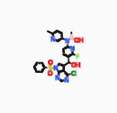 CB(O)N(c1ccc(C)nc1)c1ccc(C(O)c2cn(S(=O)(=O)c3ccccc3)c3ncnc(Cl)c23)c(F)n1